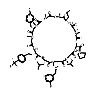 CC[C@H](C)[C@@H]1NC(=O)[C@H](C)N(C)C(=O)C[C@@H](C(=O)N2CCCC2)NC(=O)[C@H](CC(C)C)N(C)C(=O)[C@H](COCc2cncc(F)c2)N(C)C(=O)[C@H](CC(C)C)NC(=O)[C@H](CCc2ccc(C(F)(F)F)cc2)NC(=O)CN(C)C(=O)[C@H](Cc2ccc(Cl)cc2)N(C)C(=O)CN(C)C(=O)CN(C)C1=O